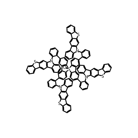 O=S12(c3ccc(-c4ccccc4-n4c5ccccc5c5cc6c(cc54)sc4ccccc46)cc3-c3cc(-c4ccccc4-n4c5ccccc5c5cc6c(cc54)sc4ccccc46)ccc31)c1ccc(-c3ccccc3-n3c4ccccc4c4cc5c(cc43)sc3ccccc35)cc1-c1cc(-c3ccccc3-n3c4ccccc4c4cc5c(cc43)sc3ccccc35)ccc12